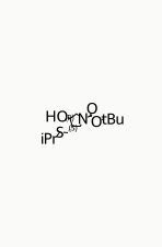 CC(C)SC[C@H]1CN(C(=O)OC(C)(C)C)C[C@@H]1O